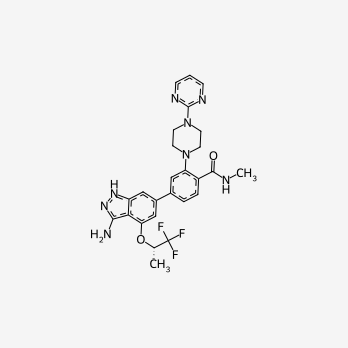 CNC(=O)c1ccc(-c2cc(O[C@@H](C)C(F)(F)F)c3c(N)n[nH]c3c2)cc1N1CCN(c2ncccn2)CC1